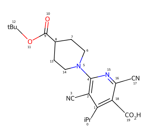 CC(C)c1c(C#N)c(N2CCC(C(=O)OC(C)(C)C)CC2)nc(C#N)c1C(=O)O